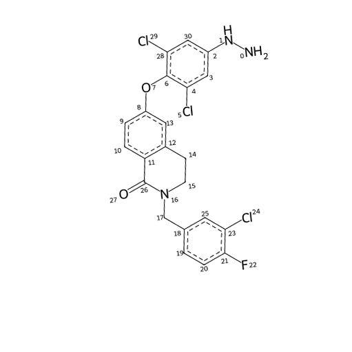 NNc1cc(Cl)c(Oc2ccc3c(c2)CCN(Cc2ccc(F)c(Cl)c2)C3=O)c(Cl)c1